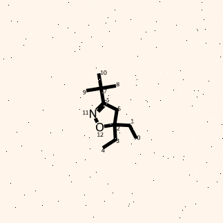 CCC1(CC)CC(C(C)(C)C)=NO1